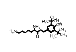 CC(C)(C)c1cc(CCC(=O)C(N)CCCCCN)cc(C(C)(C)C)c1O